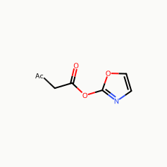 CC(=O)CC(=O)Oc1ncco1